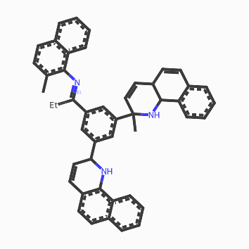 CC/C(=N\c1c(C)ccc2ccccc12)c1cc(C2C=Cc3ccc4ccccc4c3N2)cc(C2(C)C=CC3C=Cc4ccccc4C3N2)c1